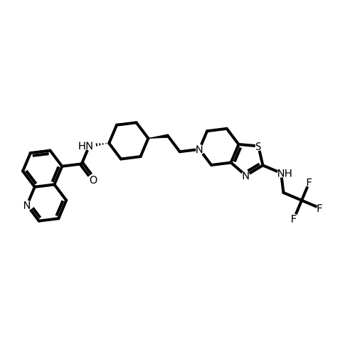 O=C(N[C@H]1CC[C@H](CCN2CCc3sc(NCC(F)(F)F)nc3C2)CC1)c1cccc2ncccc12